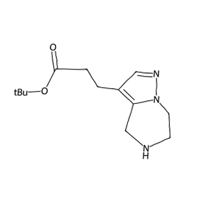 CC(C)(C)OC(=O)CCc1cnn2c1CNCC2